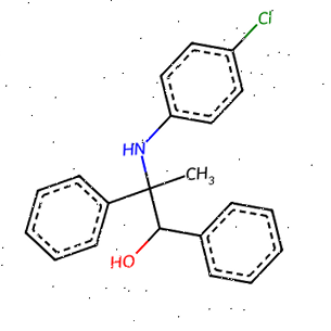 CC(Nc1ccc(Cl)cc1)(c1ccccc1)C(O)c1ccccc1